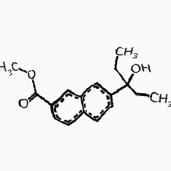 CCC(O)(CC)c1ccc2ccc(C(=O)OC)cc2c1